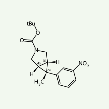 CC(C)(C)OC(=O)N1C[C@@H]2[C@H](C1)[C@]2(C)c1cccc([N+](=O)[O-])c1